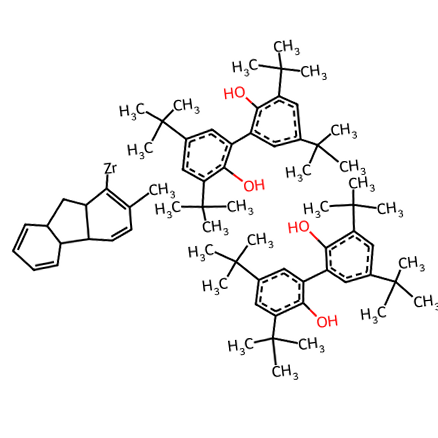 CC(C)(C)c1cc(-c2cc(C(C)(C)C)cc(C(C)(C)C)c2O)c(O)c(C(C)(C)C)c1.CC(C)(C)c1cc(-c2cc(C(C)(C)C)cc(C(C)(C)C)c2O)c(O)c(C(C)(C)C)c1.CC1=[C]([Zr])C2CC3C=CC=CC3C2C=C1